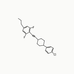 CCCc1cc(F)c(C#CC2CCC(c3ccc(Cl)cc3)CC2)c(F)c1